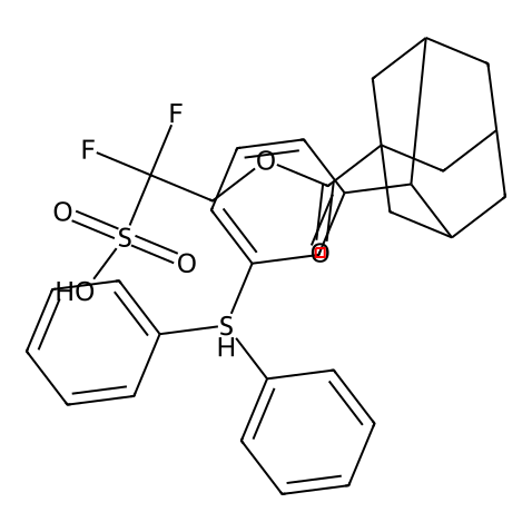 O=C(OCC(F)(F)S(=O)(=O)O)C12CC3CC(C1)C(c1cccc([SH](c4ccccc4)c4ccccc4)c1)C(C3)C2